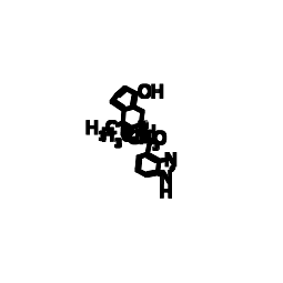 CC12CCN(C(=O)c3cccc4[nH]cnc34)[C@H](Cc3c(O)cccc31)C2(C)C